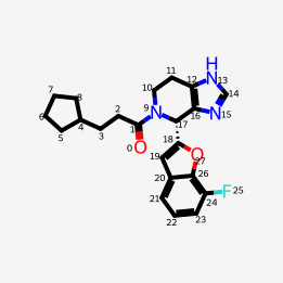 O=C(CCC1CCCC1)N1CCc2[nH]cnc2[C@@H]1c1cc2cccc(F)c2o1